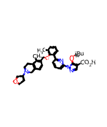 CC[C@H](C)Oc1c(C(=O)O)cnn1-c1cccc(-c2cccc(C)c2OCc2ccc3c(c2C)CCN(C2CCOC2)C3)n1